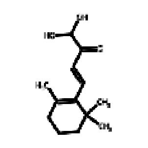 CC1=C(/C=C/C(=O)C(O)O)C(C)(C)CCC1